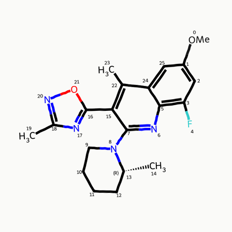 COc1cc(F)c2nc(N3CCCC[C@H]3C)c(-c3nc(C)no3)c(C)c2c1